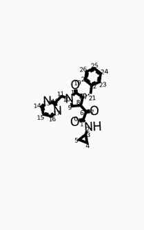 O=C(NC1CC1)C(=O)C1CN(Cc2ncccn2)C(=O)[C@@H]1Cc1ccccc1